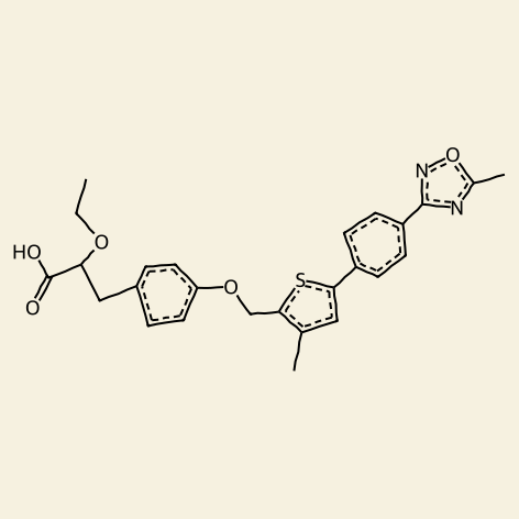 CCOC(Cc1ccc(OCc2sc(-c3ccc(-c4noc(C)n4)cc3)cc2C)cc1)C(=O)O